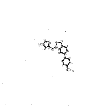 FC(F)(F)c1ccc(-c2ccc3c(c2)N(Cc2c[nH]cn2)CC3)cc1